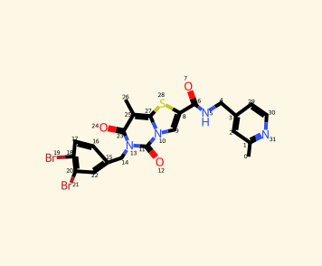 Cc1cc(CNC(=O)c2cn3c(=O)n(Cc4ccc(Br)c(Br)c4)c(=O)c(C)c3s2)ccn1